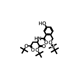 CC(C)(C)OC(=O)CC(NC(=O)c1cc(O)ccc1CO[Si](C)(C)C(C)(C)C)C(=O)OC(C)(C)C